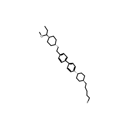 CCC(OC)[C@H]1CC[C@H](CCc2ccc(-c3ccc([C@H]4CC[C@H](CCCCCF)CC4)cc3)cc2)CC1